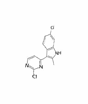 Cc1[nH]c2cc(Cl)ccc2c1-c1ccnc(Cl)n1